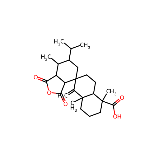 C=C1C2(C)CCCC(C)(C(=O)O)C2CCC12CC(C(C)C)C(C)C1C(=O)OC(=O)C12